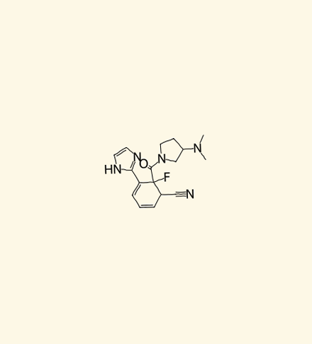 CN(C)C1CCN(C(=O)C2(F)C(c3ncc[nH]3)=CC=CC2C#N)C1